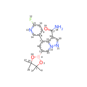 CC1(C)OB(c2cc(-c3ccc(F)nc3)c3c(C(N)=O)cnn3c2)OC1(C)C